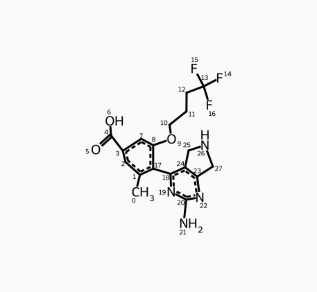 Cc1cc(C(=O)O)cc(OCCCC(F)(F)F)c1-c1nc(N)nc2c1CNC2